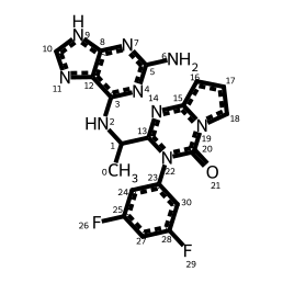 CC(Nc1nc(N)nc2[nH]cnc12)c1nc2cccn2c(=O)n1-c1cc(F)cc(F)c1